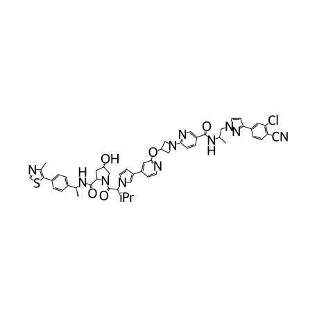 Cc1ncsc1-c1ccc([C@H](C)NC(=O)C2C[C@@H](O)CN2C(=O)C(C(C)C)n2ccc(-c3ccnc(OC4CN(c5ccc(C(=O)NC(C)Cn6ccc(-c7ccc(C#N)c(Cl)c7)n6)cn5)C4)c3)c2)cc1